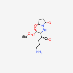 CC(C)(C)OOC(=O)[C@@H](NN1C(=O)CCC1=O)C(=C=O)CCCN